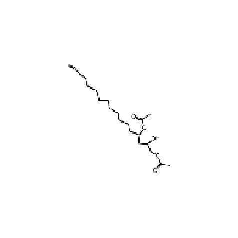 C=CCCCCCCCCCCCC(CC(O)COC(C)=O)OC(C)=O